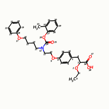 CCOC(Cc1ccc(OCCN(CCCCOc2ccccc2)C(=O)Oc2ccccc2C)cc1)C(=O)O